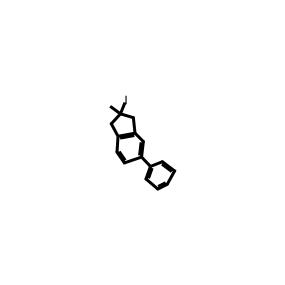 CC1(I)Cc2ccc(-c3ccccc3)cc2C1